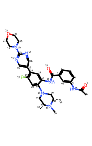 CC(=O)Nc1cccc(C(=O)Nc2cc(-c3cnc(N4CCOCC4)nc3)c(F)cc2N2C[C@@H](C)N(C)[C@@H](C)C2)c1